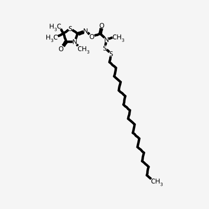 CCCCCCCCCCCCCCCCCCSSN(C)C(=O)ON=C1SC(C)(C)C(=O)N1C